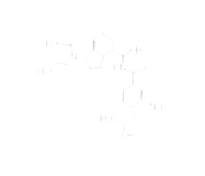 C=C(NC(=O)C1=CCC(OC(C)C)C(N)=C1)c1cccc2c1CC[C@@H]2N(CCO)C(C)=O